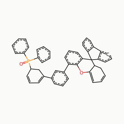 O=P(c1ccccc1)(c1ccccc1)C1C=CC=C(c2cccc(-c3cccc4c3OC3=CC=CCC3C43c4ccccc4-c4ccccc43)c2)C1